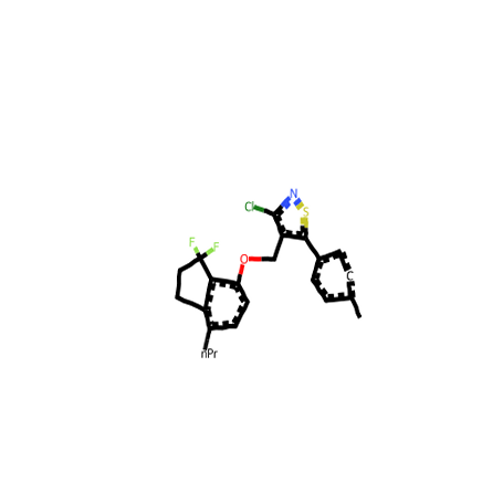 CCCc1ccc(OCc2c(Cl)nsc2-c2ccc(C)cc2)c2c1CCC2(F)F